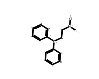 [Cl][Ni]([Cl])[CH2]CP(c1ccccc1)c1ccccc1